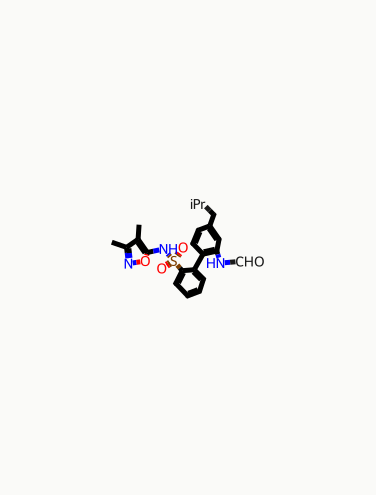 Cc1noc(NS(=O)(=O)c2ccccc2-c2ccc(CC(C)C)cc2NC=O)c1C